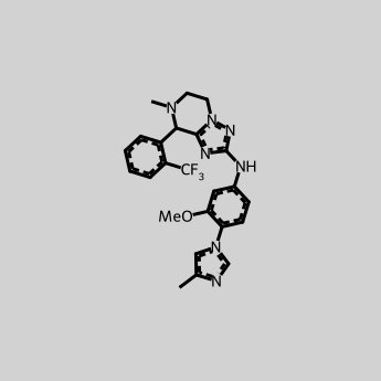 COc1cc(Nc2nc3n(n2)CCN(C)C3c2ccccc2C(F)(F)F)ccc1-n1cnc(C)c1